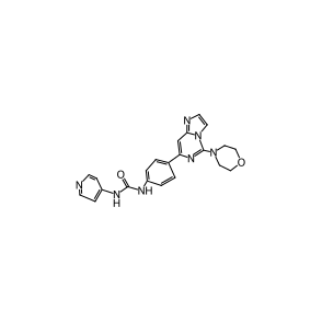 O=C(Nc1ccncc1)Nc1ccc(-c2cc3nccn3c(N3CCOCC3)n2)cc1